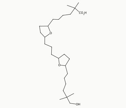 CC(C)(CO)CCCCC1CCC(CCCC2CCC(CCCCC(C)(C)C(=O)O)O2)O1